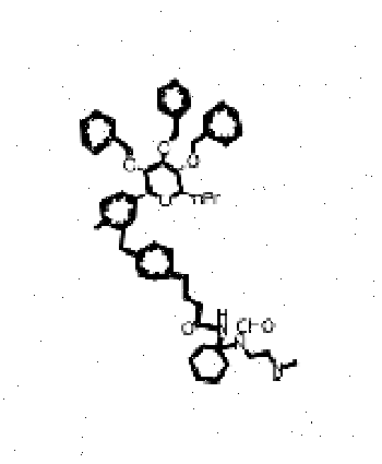 CCC[C@H]1O[C@@H](c2ccc(C)c(Cc3ccc(CCCC(=O)NC4(N(C=O)CCN(C)C)CCCCC4)cc3)c2)[C@H](OCc2ccccc2)[C@@H](OCc2ccccc2)[C@@H]1OCc1ccccc1